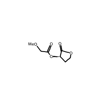 COCC(=O)O[C@@H]1CCOC1=O